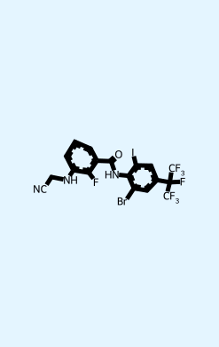 N#CCNc1cccc(C(=O)Nc2c(Br)cc(C(F)(C(F)(F)F)C(F)(F)F)cc2I)c1F